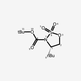 CCCC[C@H]1COS(=O)(=O)N1C(=O)OC(C)(C)C